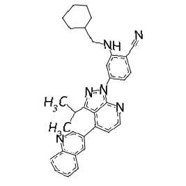 CC(C)c1nn(-c2ccc(C#N)c(NCC3CCCCC3)c2)c2nccc(-c3cnc4ccccc4c3)c12